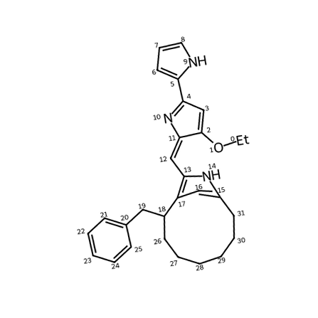 CCOC1=CC(c2ccc[nH]2)=N/C1=C/c1[nH]c2cc1C(Cc1ccccc1)CCCCCC2